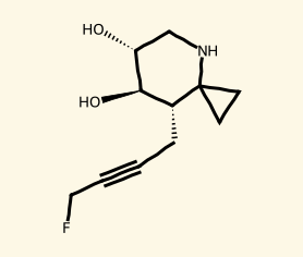 O[C@H]1[C@H](O)CNC2(CC2)[C@@H]1CC#CCF